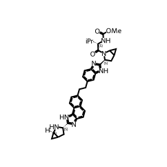 COC(=O)N[C@H](C(=O)N1C2CC2C[C@H]1c1nc2ccc(CCc3ccc4c(ccc5nc([C@@H]6CC7C[C@H]7N6)[nH]c54)c3)cc2[nH]1)C(C)C